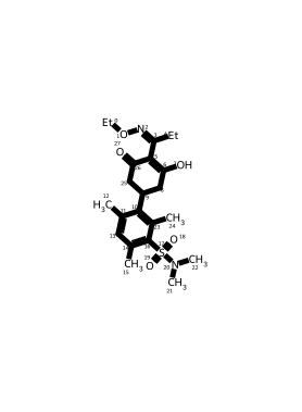 CCO/N=C(/CC)C1=C(O)CC(c2c(C)cc(C)c(S(=O)(=O)N(C)C)c2C)CC1=O